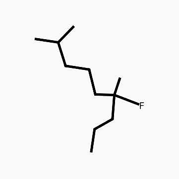 CCCC(C)(F)CCCC(C)C